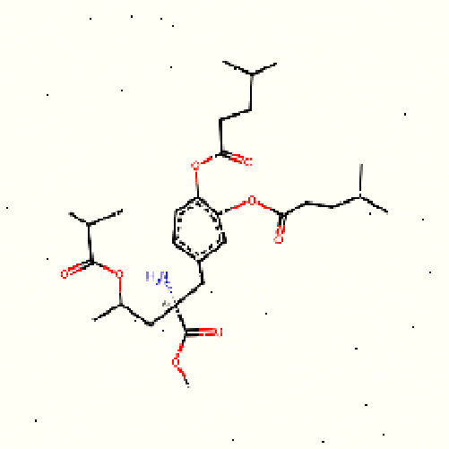 COC(=O)[C@](N)(Cc1ccc(OC(=O)CCC(C)C)c(OC(=O)CCC(C)C)c1)CC(C)OC(=O)C(C)C